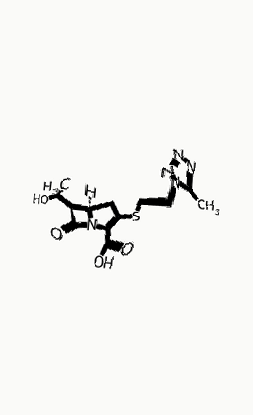 Cc1nnnn1C=CSC1=C(C(=O)O)N2C(=O)[C@@H]([C@H](C)O)[C@H]2C1